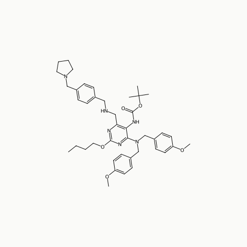 CCCCOc1nc(CNCc2ccc(CN3CCCC3)cc2)c(NC(=O)OC(C)(C)C)c(N(Cc2ccc(OC)cc2)Cc2ccc(OC)cc2)n1